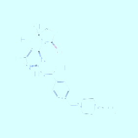 C[C@H](Nc1nc(F)cc(N2C(=O)OCC2(C)C)n1)c1ccc(CN2CCN(C(=O)O)CC2)cc1